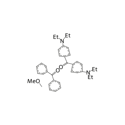 CCN(CC)c1ccc(C(=O)c2ccc(N(CC)CC)cc2)cc1.COC.O=C(c1ccccc1)c1ccccc1